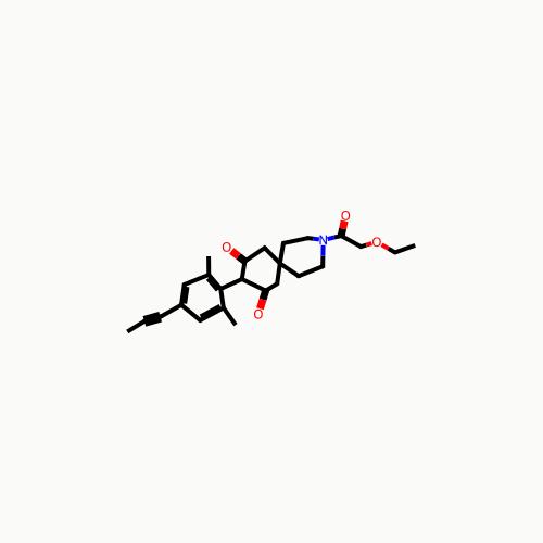 CC#Cc1cc(C)c(C2C(=O)CC3(CCN(C(=O)COCC)CC3)CC2=O)c(C)c1